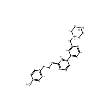 Oc1ccc(CCNc2nccc(-c3cccc(CN4CCNCC4)c3)n2)cc1